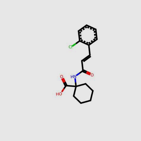 O=C(/C=C/c1ccccc1Cl)NC1(C(=O)O)CCCCC1